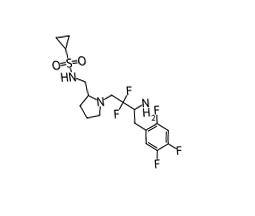 NC(Cc1cc(F)c(F)cc1F)C(F)(F)CN1CCCC1CNS(=O)(=O)C1CC1